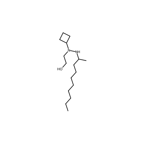 CCCCCCCCC(C)NN(CCO)C1CCC1